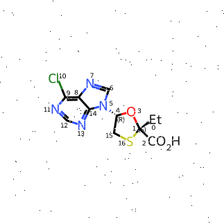 CC[C@]1(C(=O)O)O[C@@H](n2cnc3c(Cl)ncnc32)CS1